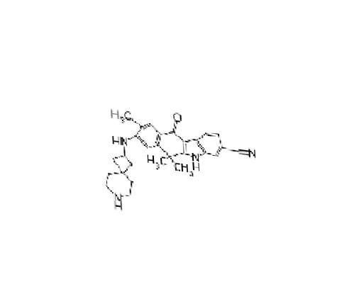 Cc1cc2c(cc1NC1CC3(CCNCC3)C1)C(C)(C)c1[nH]c3cc(C#N)ccc3c1C2=O